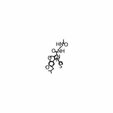 COc1cc2c(cc1CC(C)C)-c1c(c(C(=O)NCCNC(C)=O)nn1-c1ccsc1)CO2